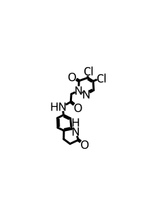 O=C(Cn1ncc(Cl)c(Cl)c1=O)Nc1ccc2c(c1)NC(=O)CC2